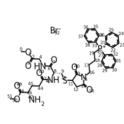 COC(=O)CNC(=O)[C@H](CSC1CC(=O)N(CCCC[P+](c2ccccc2)(c2ccccc2)c2ccccc2)C1=O)NC(=O)CC[C@H](N)C(=O)OC.[Br-]